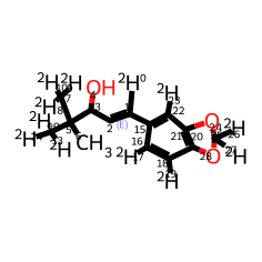 [2H]/C(=C\C(O)C(C)(C([2H])([2H])[2H])C([2H])([2H])[2H])c1c([2H])c([2H])c2c(c1[2H])OC([2H])([2H])O2